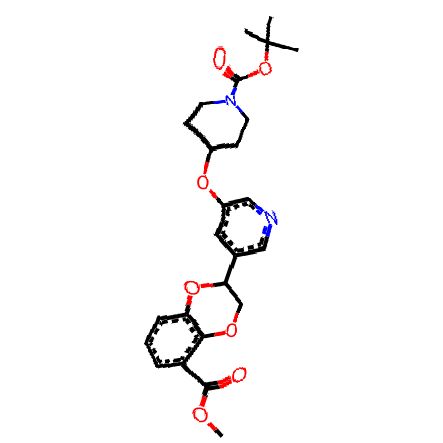 COC(=O)c1cccc2c1OCC(c1cncc(OC3CCN(C(=O)OC(C)(C)C)CC3)c1)O2